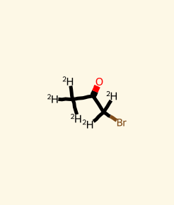 [2H]C([2H])([2H])C(=O)C([2H])([2H])Br